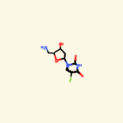 NCC1OC(n2cc(F)c(=O)[nH]c2=O)CC1O